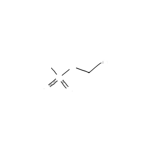 CC(C)COS([O])(=O)=O